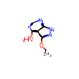 CCOc1n[nH]c2ncnc(O)c12